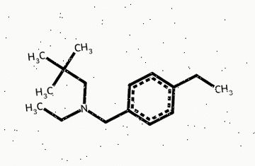 CCc1ccc(CN(CC)CC(C)(C)C)cc1